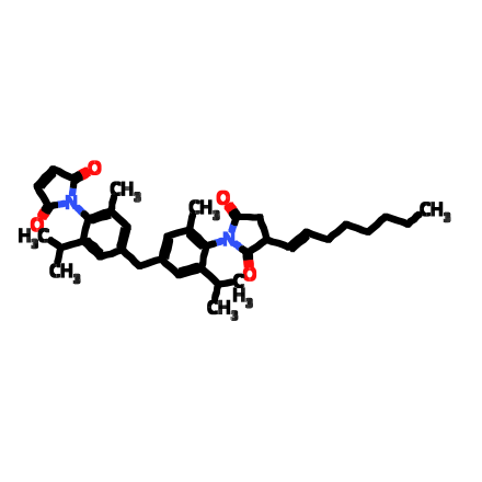 CCCCCC/C=C/C1CC(=O)N(c2c(C)cc(Cc3cc(C)c(N4C(=O)C=CC4=O)c(C(C)C)c3)cc2C(C)C)C1=O